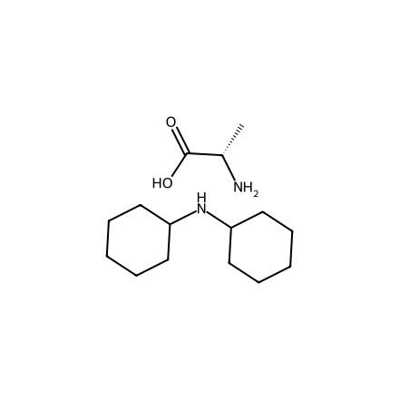 C1CCC(NC2CCCCC2)CC1.C[C@H](N)C(=O)O